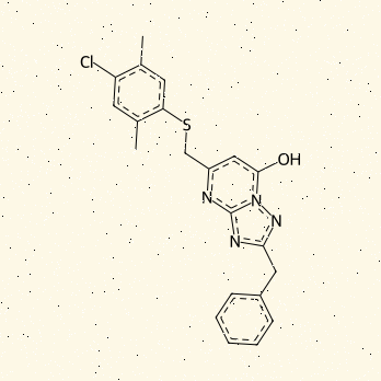 Cc1cc(SCc2cc(O)n3nc(Cc4ccccc4)nc3n2)c(C)cc1Cl